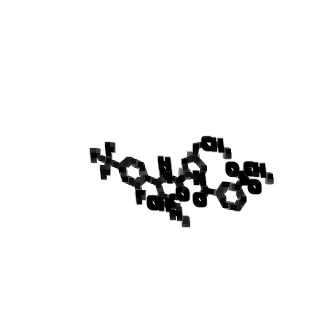 CC[C@@H]1C[C@H](C(=O)NC(c2ccc(C(F)(F)F)cc2F)C(C)O)N(C(=O)c2cccc(S(C)(=O)=O)c2)C1